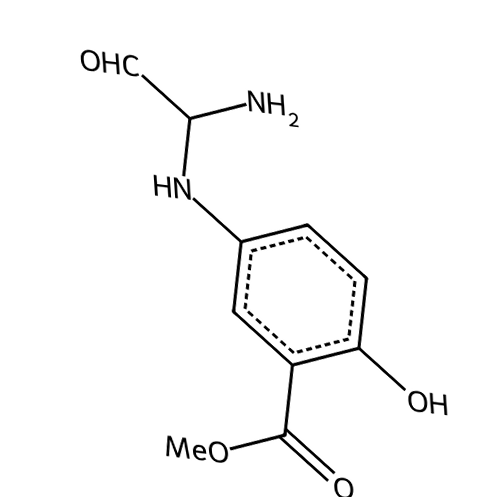 COC(=O)c1cc(NC(N)C=O)ccc1O